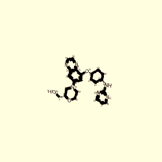 OC[C@@H]1CN(c2cc(O[C@H]3CC[C@@H](Nc4ncccn4)CC3)c3nccnc3c2)CCO1